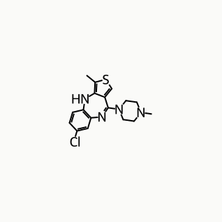 Cc1scc2c1Nc1ccc(Cl)cc1N=C2N1CCN(C)CC1